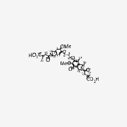 COc1cc2c(cc1OCCCOc1c(C)c3c(c(Cl)c1OC)CN(C(=O)C[C@H](C)C(=O)O)C3C)CN(C(=O)CC(C)C(=O)O)C2